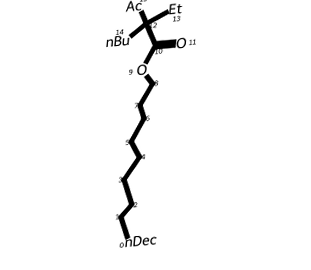 CCCCCCCCCCCCCCCCCCOC(=O)C(CC)(CCCC)C(C)=O